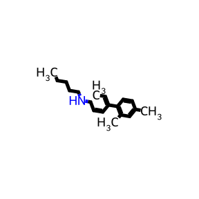 C/C=C(\C=C/CNCCCCC)c1ccc(C)cc1C